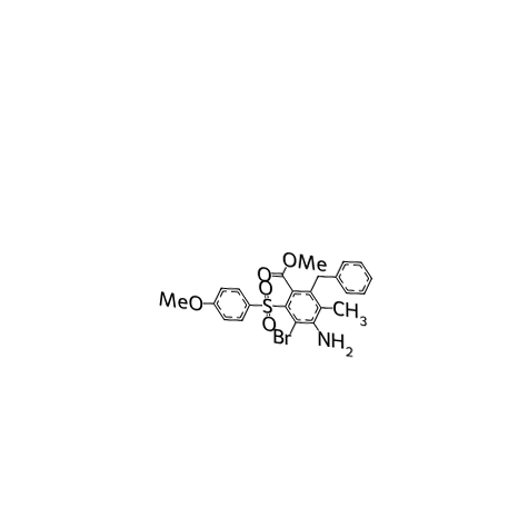 COC(=O)c1c(Cc2ccccc2)c(C)c(N)c(Br)c1S(=O)(=O)c1ccc(OC)cc1